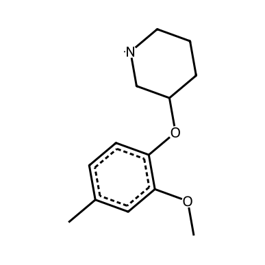 COc1cc(C)ccc1OC1CCC[N]C1